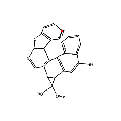 COC1(O)C2c3cc(C(C)C)c4ccccc4c3C3=[N+](C=NC4Oc5ccc6ccccc6c5C34)C21